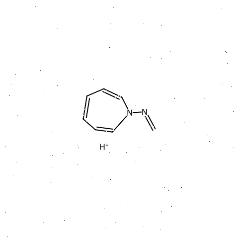 C=NN1C=CC=CC=C1.[H+]